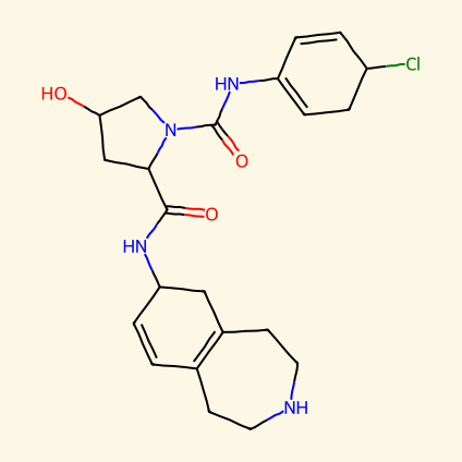 O=C(NC1C=CC2=C(CCNCC2)C1)C1CC(O)CN1C(=O)NC1=CCC(Cl)C=C1